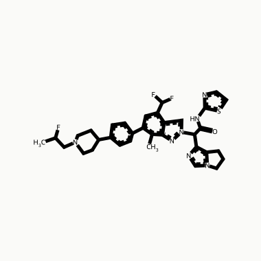 Cc1c(-c2ccc(C3CCN(CC(C)F)CC3)cc2)cc(C(F)F)c2cn(C(C(=O)Nc3nccs3)c3ncn4c3CCC4)nc12